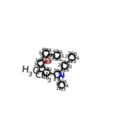 CC1(C)c2ccc(-c3cc(-c4ccccc4)nc(-c4ccc(-c5ccccc5)cc4)c3)cc2-c2c1ccc1c2oc2c(-c3ccccc3)cccc21